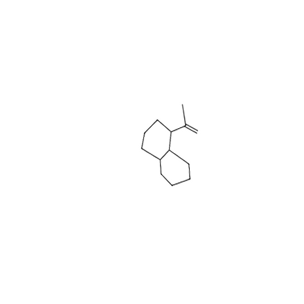 C=C(C)C1CCCC2CCCCC21